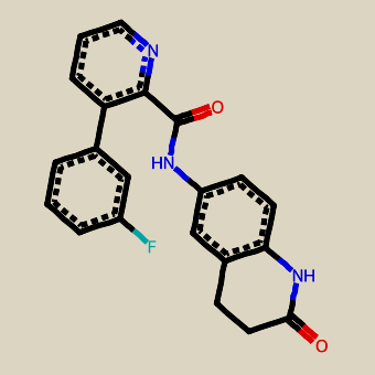 O=C1CCc2cc(NC(=O)c3ncccc3-c3cccc(F)c3)ccc2N1